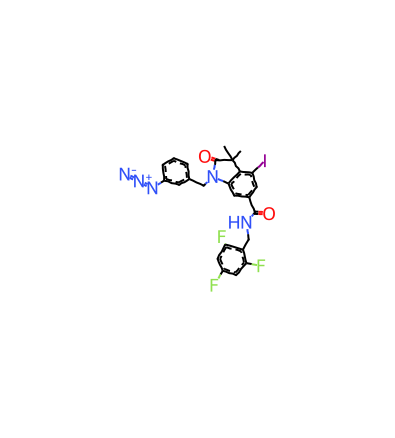 CC1(C)C(=O)N(Cc2cccc(N=[N+]=[N-])c2)c2cc(C(=O)NCc3c(F)cc(F)cc3F)cc(I)c21